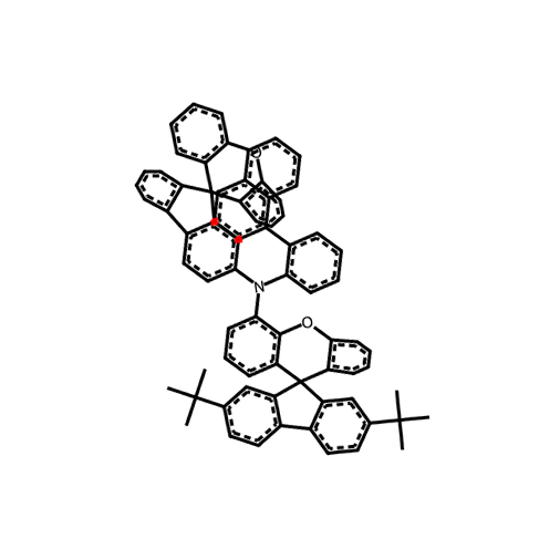 CC(C)(C)c1ccc2c(c1)C1(c3ccccc3Oc3c(N(c4ccc5c(c4)C4(c6ccccc6Oc6ccccc64)c4ccccc4-5)c4ccccc4-c4cccc5ccccc45)cccc31)c1cc(C(C)(C)C)ccc1-2